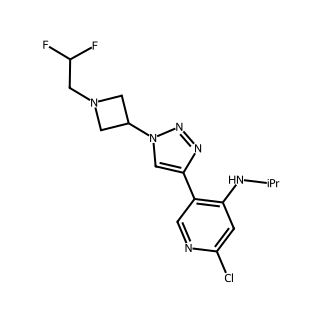 CC(C)Nc1cc(Cl)ncc1-c1cn(C2CN(CC(F)F)C2)nn1